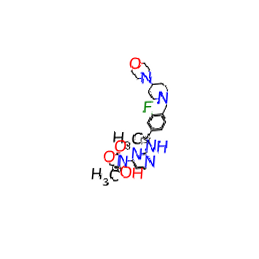 C[C@H](Nc1nccc(N2C(=O)OC[C@]2(C)O)n1)c1ccc(CN2CCC(N3CCOCC3)CC2)c(F)c1